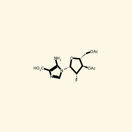 CC(=O)OC[C@H]1O[C@@H](n2cnc(C(=O)O)c2N)[C@@H](F)[C@@H]1OC(C)=O